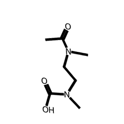 CC(=O)N(C)CCN(C)C(=O)O